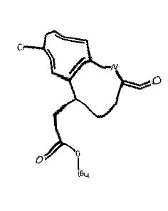 CC(C)(C)OC(=O)CC1CCC(=O)[N]c2ccc(Cl)cc21